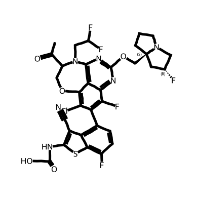 CC(=O)C1COc2c(Cl)c(-c3ccc(F)c4sc(NC(=O)O)c(C#N)c34)c(F)c3nc(OC[C@@]45CCCN4C[C@H](F)C5)nc(c23)N1CC(F)F